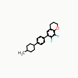 CC1CCC(c2ccc(-c3cc4c(c(F)c3F)OCCC4)cc2)CC1